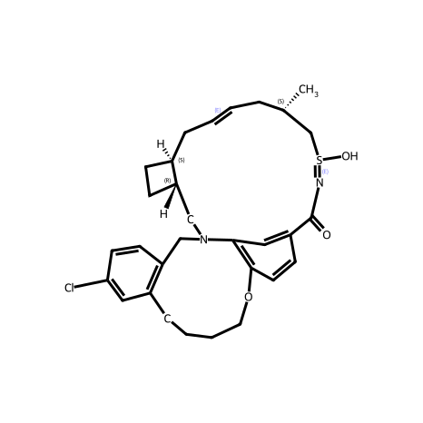 C[C@H]1C/C=C/C[C@@H]2CC[C@H]2CN2Cc3ccc(Cl)cc3CCCCOc3ccc(cc32)C(=O)/N=S(/O)C1